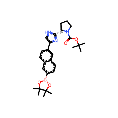 CC(C)(C)OC(=O)N1CCC[C@H]1c1nc(-c2ccc3cc(B4OC(C)(C)C(C)(C)O4)ccc3c2)c[nH]1